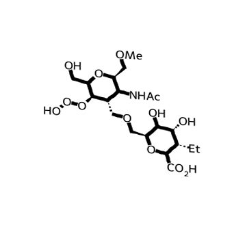 CC[C@@H]1C(C(=O)O)O[C@@H](COC[C@H]2C(NC(C)=O)[C@H](COC)OC(CO)[C@@H]2OOO)C(O)[C@@H]1O